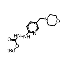 CC(C)(C)OC(=O)NNc1ccc(CN2CCOCC2)cn1